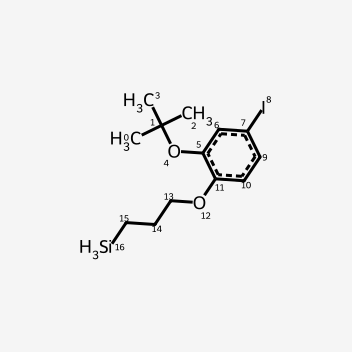 CC(C)(C)Oc1cc(I)ccc1OCCC[SiH3]